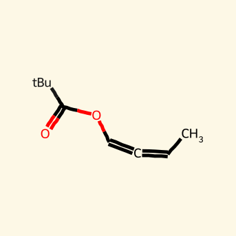 CC=C=COC(=O)C(C)(C)C